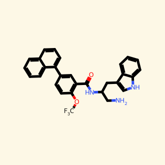 NCC(Cc1c[nH]c2ccccc12)NC(=O)c1cc(-c2cccc3ccccc23)ccc1OC(F)(F)F